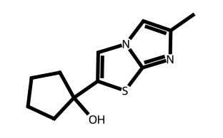 Cc1cn2cc(C3(O)CCCC3)sc2n1